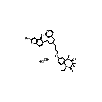 CCN1C(=O)C(C)(C)C(=O)N(C)c2cc(OCCCN(CCn3ccc4oc(Br)cc4c3=O)Cc3ccncc3)ccc21.Cl.Cl